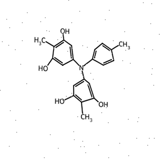 Cc1ccc(N(c2cc(O)c(C)c(O)c2)c2cc(O)c(C)c(O)c2)cc1